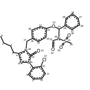 CCCCc1nn(-c2ccccc2Cl)c(=O)n1Cc1ccc(OC(c2ccccc2)N(C=O)S(C)(=O)=O)cc1